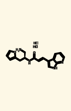 Cl.Cl.NC[C@H](Cc1ccco1)NC(=O)/C=C/c1c[nH]c2ncccc12